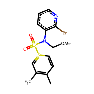 COCN(c1cccnc1Br)S(=O)(=O)S1=CC(C(F)(F)F)=C(C)C=C1